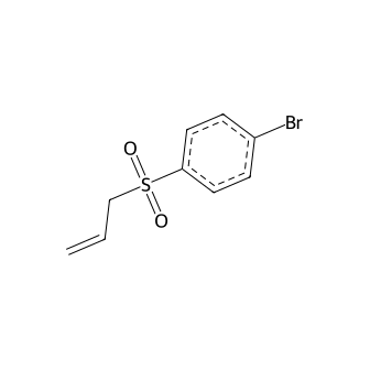 C=CCS(=O)(=O)c1ccc(Br)cc1